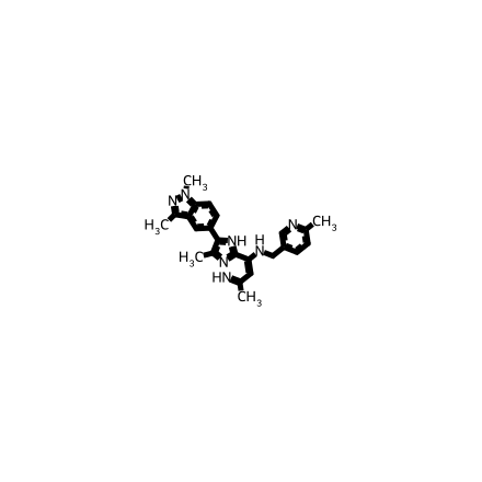 CC(=N)/C=C(/NCc1ccc(C)nc1)c1nc(C)c(-c2ccc3c(c2)c(C)nn3C)[nH]1